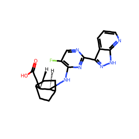 O=C(O)[C@H]1C2CCC(CC2)[C@@H]1Nc1nc(-c2n[nH]c3ncccc23)ncc1F